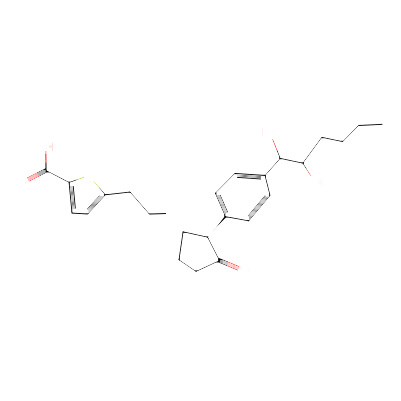 CCCCC(O)C(O)c1ccc([C@H]2C(=O)CC[C@@H]2CCCc2ccc(C(=O)O)s2)cc1